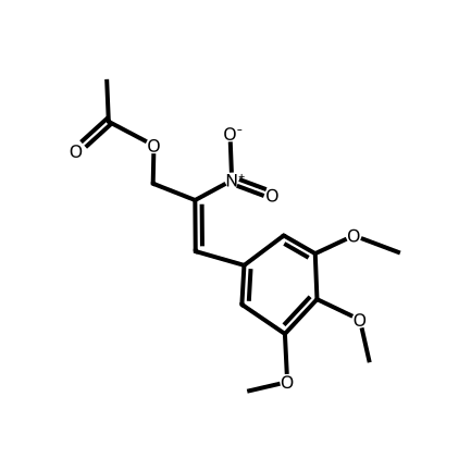 COc1cc(C=C(COC(C)=O)[N+](=O)[O-])cc(OC)c1OC